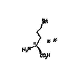 N[C@@H](CCS)C(=O)O.[K].[K]